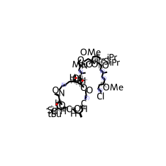 C=C1C[C@@H]2C[C@@H]3C[C@@H](O[Si](C)(C)C(C)(C)C)C[C@@H](O3)c3coc(n3)/C=C/C[C@H]3O[C@@H](/C(C)=C/c4coc(C[C@]5(OC)C[C@H](OC)C[C@H]([C@@H](/C=C(C)/C=C/[C@@H](C/C=C/Cl)OC)O[Si](C(C)C)(C(C)C)C(C)C)O5)n4)[C@H](C)[C@@H](OC(=O)/C=C\C[C@@H](C1)O2)[C@H]3C